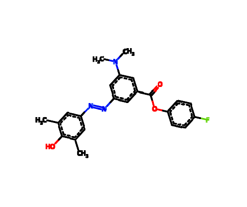 Cc1cc(/N=N/c2cc(C(=O)Oc3ccc(F)cc3)cc(N(C)C)c2)cc(C)c1O